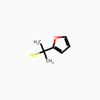 CC(C)(S)c1ccco1